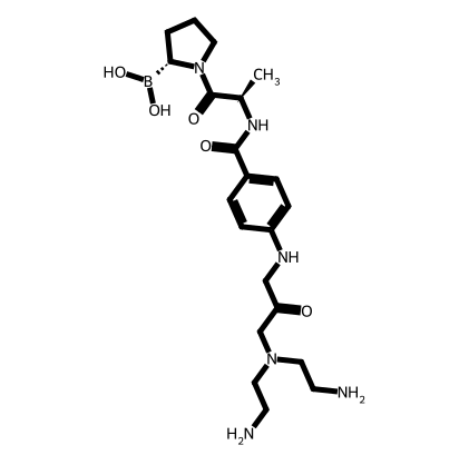 C[C@@H](NC(=O)c1ccc(NCC(=O)CN(CCN)CCN)cc1)C(=O)N1CCC[C@H]1B(O)O